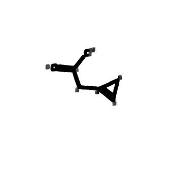 O=C(Cl)CC1=CC1